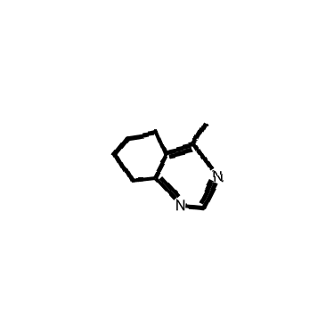 Cc1ncnc2c1CCCC2